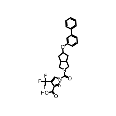 O=C(O)c1nn(C(=O)N2CC3CC(Oc4cccc(-c5ccccc5)c4)CC3C2)cc1C(F)(F)F